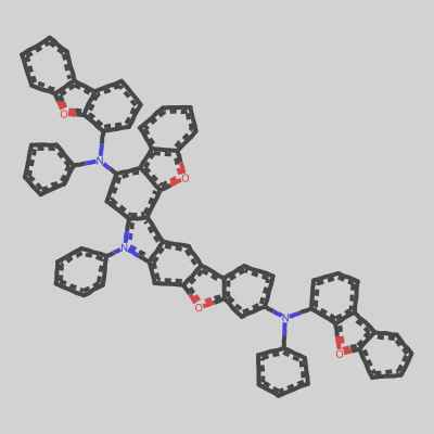 c1ccc(N(c2ccc3c(c2)oc2cc4c(cc23)c2c3oc5ccccc5c3c(N(c3ccccc3)c3cccc5c3oc3ccccc35)cc2n4-c2ccccc2)c2cccc3c2oc2ccccc23)cc1